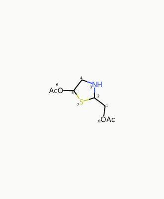 CC(=O)OCC1NCC(OC(C)=O)S1